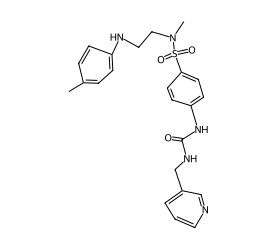 Cc1ccc(NCCN(C)S(=O)(=O)c2ccc(NC(=O)NCc3cccnc3)cc2)cc1